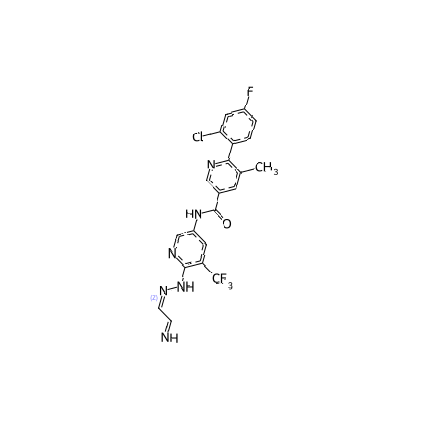 Cc1cc(C(=O)Nc2cnc(N/N=C\C=N)c(C(F)(F)F)c2)cnc1-c1ccc(F)cc1Cl